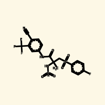 CC(CS(=O)(=O)c1ccc(F)cc1)(N[SH](=O)=O)C(=O)Nc1ccc(C#N)c(C(F)(F)F)c1